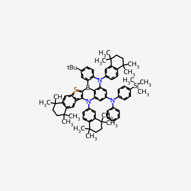 CC(C)(C)c1ccc2c(c1)B1c3sc4cc5c(cc4c3N(c3ccc4c(c3)C(C)(C)CCC4(C)C)c3cc(N(c4ccccc4)c4ccc([Si](C)(C)C)cc4)cc(c31)N2c1ccc2c(c1)C(C)(C)CCC2(C)C)C(C)(C)CCC5(C)C